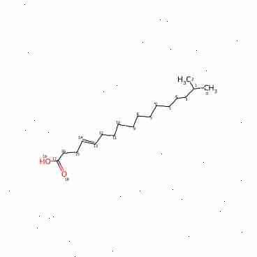 CC(C)CCCCCCCCCCC=CCCC(=O)O